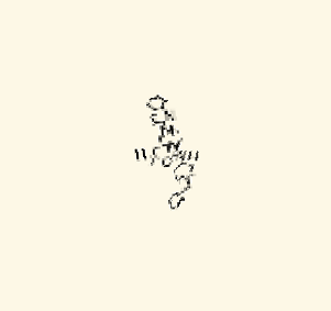 C[C@@H]1CN(c2nc3ccccc3s2)CCN1C(=O)NC1CCN(Cc2ccccc2)CC1